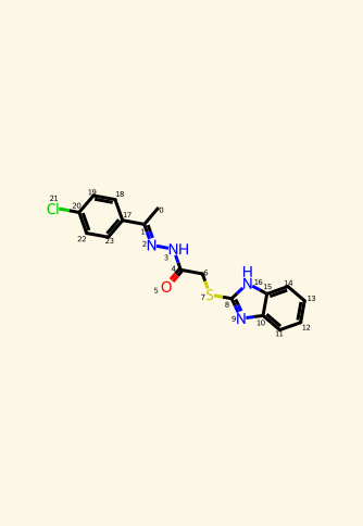 C/C(=N\NC(=O)CSc1nc2ccccc2[nH]1)c1ccc(Cl)cc1